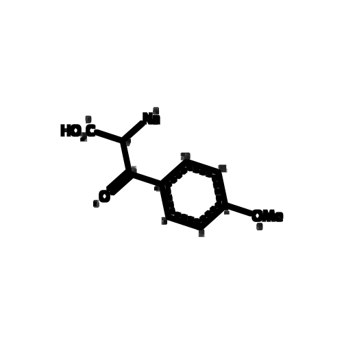 COc1ccc(C(=O)[CH]([Na])C(=O)O)cc1